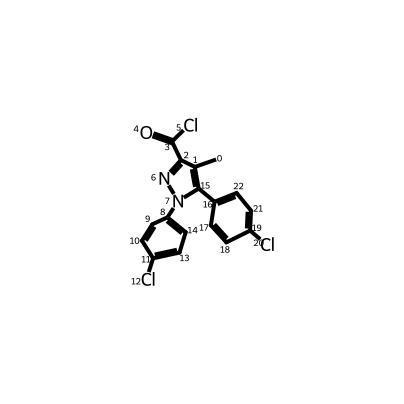 Cc1c(C(=O)Cl)nn(-c2ccc(Cl)cc2)c1-c1ccc(Cl)cc1